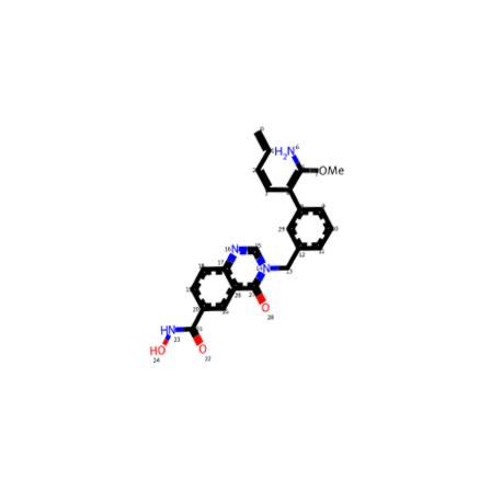 C=C/C=C\C(=C(/N)OC)c1cccc(Cn2cnc3ccc(C(=O)NO)cc3c2=O)c1